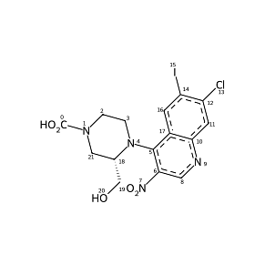 O=C(O)N1CCN(c2c([N+](=O)[O-])cnc3cc(Cl)c(I)cc23)[C@H](CO)C1